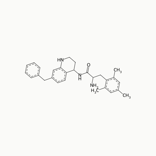 Cc1cc(C)c(CC(N)C(=O)NC2CCNc3cc(Cc4ccccc4)ccc32)c(C)c1